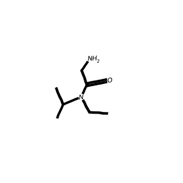 CCN(C(=O)CN)C(C)C